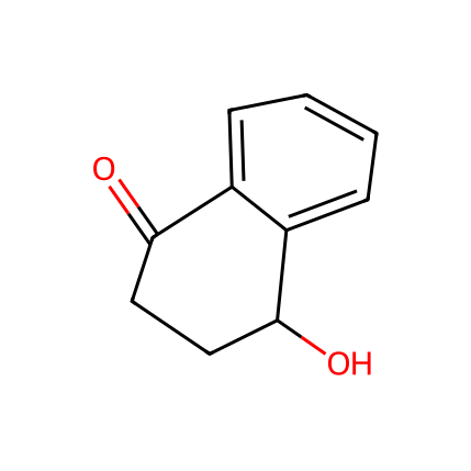 O=C1CCC(O)c2ccccc21